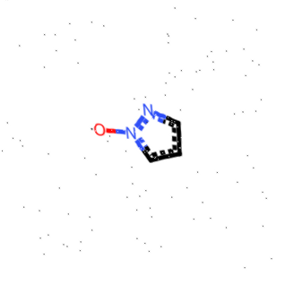 [O]n1cccn1